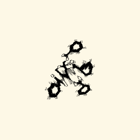 O=C(OC[C@@]1(Br)OC[C@H](OC(=O)c2ccccc2)[C@@H](OC(=O)c2ccccc2)[C@@H]1OC(=O)c1ccccc1)c1ccccc1